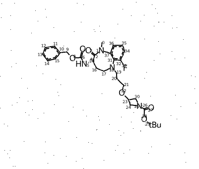 CN1C(=O)[C@@H](NC(=O)OCc2ccccc2)CCN(CCCOC2CN(C(=O)OC(C)(C)C)C2)c2c(F)cccc21